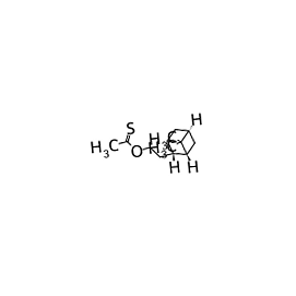 CC(=S)OCC[C@@H]1CC[C@H]2C[C@H]1C2(C)C